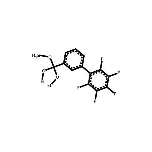 CCOC(O[SiH3])(OCC)c1cccc(-c2c(F)c(F)c(F)c(F)c2F)c1